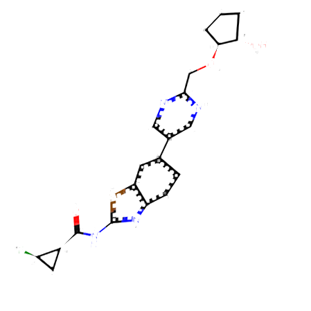 O=C(Nc1nc2ccc(-c3cnc(CO[C@H]4CCC[C@@H]4O)nc3)cc2s1)[C@H]1C[C@H]1F